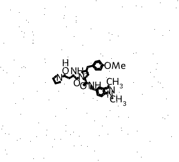 COc1ccc(CC2CC(C(=O)NCc3ccc4c(c3)c(C)nn4C)N(C(=O)C(N)CC(O)N3CCCC3)C2)cc1